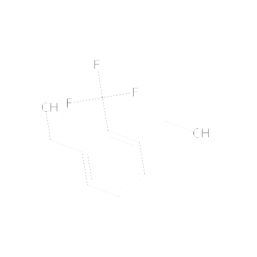 CCc1cccc(CC)c1C(F)(F)F